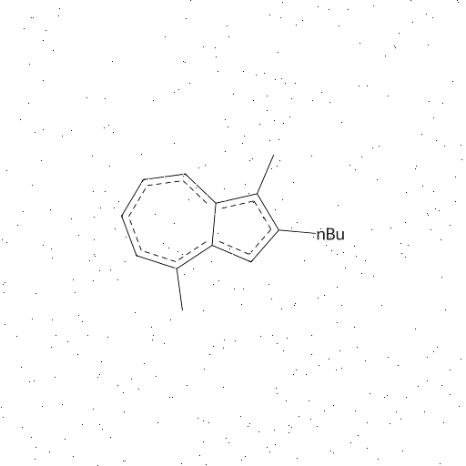 CCCCc1cc2c(C)ccccc-2c1C